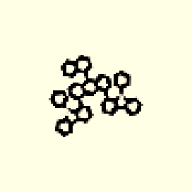 c1ccc(-p2c3ccccc3c3cccc(-c4cccc5c(-c6cccc7ccccc67)c6cccc(-c7cccc8c9ccccc9p(-c9ccccc9)c78)c6cc45)c32)cc1